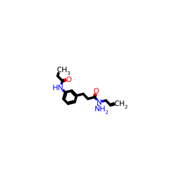 C=CCN(N)C(=O)CCc1cccc(NC(=O)CC)c1